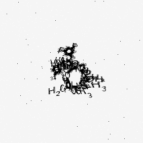 C=C[C@@H]1C[C@H]2C(=O)O[C@@H](C)[C@H](NC(=O)[C@H](Cc3cc(F)cc(F)c3)NC(=O)Nc3ccc(I)cc3)C(=O)N3CCC[C@H]3C(=O)N(C)[C@@H](C(C)O)C(=O)N[C@@H](C)C(O)N2C1